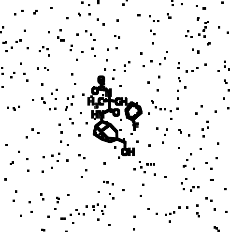 CC(C)(N=S(=O)=O)C(=O)NC1C2CC3CC1CC(CO)(C3)C2.Fc1ccccc1